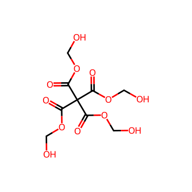 O=C(OCO)C(C(=O)OCO)(C(=O)OCO)C(=O)OCO